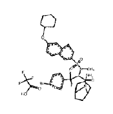 CN([C@@H](C(=O)N1C2CCC1CC(N)C2)C(F)(F)c1ccc(Br)cc1)S(=O)(=O)c1ccc2cc(OC3CCCCC3)ccc2c1.O=C(O)C(F)(F)F